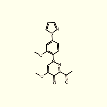 COc1cc(-n2cccn2)ccc1-n1cc(OC)c(=O)c(C(C)=O)n1